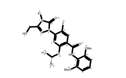 CCn1c(CO)nn(-c2nc(O[C@@H](C)C(F)(F)F)c(C(=O)Nc3c(OC)cccc3OC)cc2F)c1=O